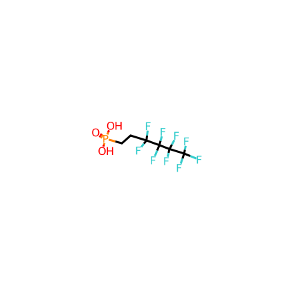 O=P(O)(O)CCC(F)(F)C(F)(F)C(F)(F)C(F)(F)F